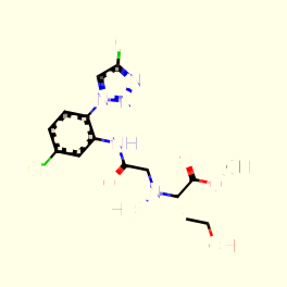 COC(=O)[C@H](CCO)N(C)CC(=O)Nc1cc(Cl)ccc1-n1cc(Cl)nn1